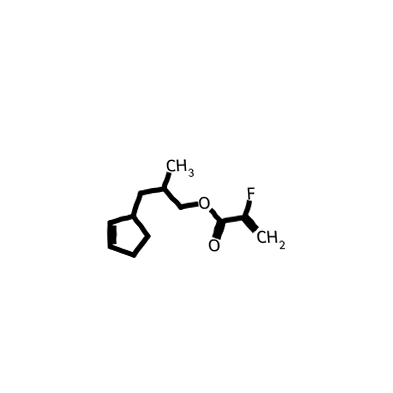 C=C(F)C(=O)OCC(C)CC1C=CCC1